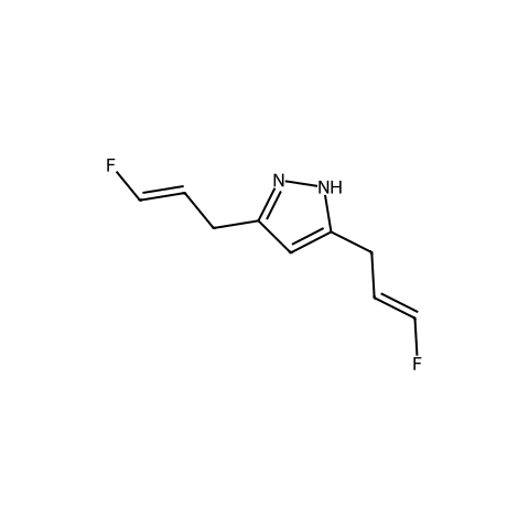 FC=CCc1cc(CC=CF)[nH]n1